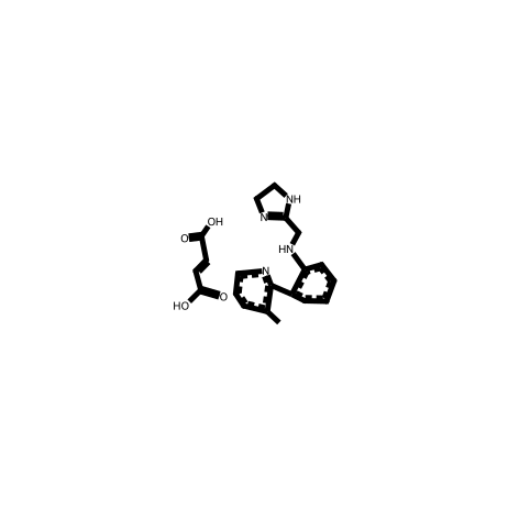 Cc1cccnc1-c1ccccc1NCC1=NCCN1.O=C(O)/C=C/C(=O)O